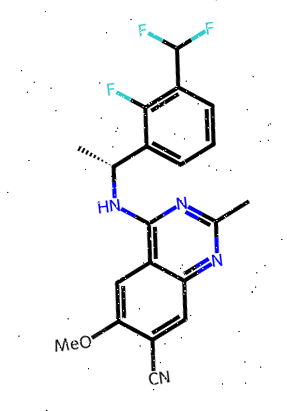 COc1cc2c(N[C@H](C)c3cccc(C(F)F)c3F)nc(C)nc2cc1C#N